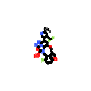 Cc1cc(C(F)F)c(-c2cc3c(n4cnnc24)N(C(=O)O)Cc2c(F)ccc4c2[C@@H](CO4)CO3)cn1